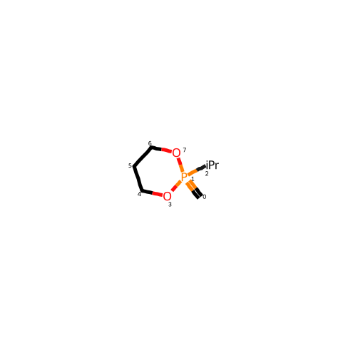 C=P1(C(C)C)OCCCO1